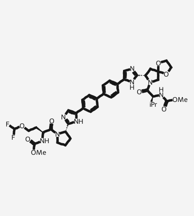 COC(=O)N[C@@H](CCOC(F)F)C(=O)N1CCC[C@H]1c1ncc(-c2ccc(-c3ccc(-c4cnc([C@@H]5CC6(CN5C(=O)[C@@H](NC(=O)OC)C(C)C)OCCO6)[nH]4)cc3)cc2)[nH]1